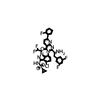 N[C@@H](Cc1cc(F)cc(F)c1)c1nc2nc(-c3ccccc3F)ccc2c(=O)n1-c1ccc(Cl)c2c(NS(=O)(=O)C3CC3)nn(CC(F)F)c12